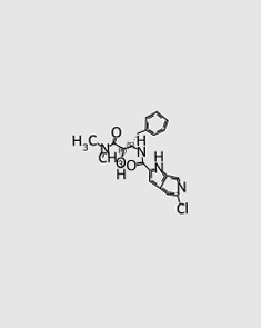 CN(C)C(=O)[C@H](O)[C@H](Cc1ccccc1)NC(=O)c1cc2cc(Cl)ncc2[nH]1